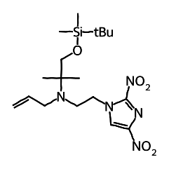 C=CCN(CCn1cc([N+](=O)[O-])nc1[N+](=O)[O-])C(C)(C)CO[Si](C)(C)C(C)(C)C